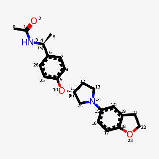 CC(=O)N[C@@H](C)c1ccc(O[C@@H]2CCN(c3ccc4c(c3)CCO4)C2)cc1